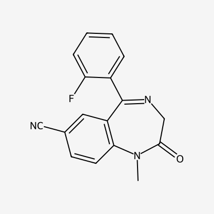 CN1C(=O)CN=C(c2ccccc2F)c2cc(C#N)ccc21